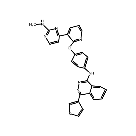 CNc1nccc(-c2cccnc2Oc2ccc(Nc3nnc(-c4ccsc4)c4ccccc34)cc2)n1